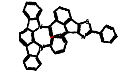 c1ccc(-c2nc3c(s2)-c2cccc4c(-n5c6ccccc6c6ccc7c8ccccc8n(-c8ccccc8)c7c65)ccc-3c24)cc1